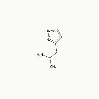 CC(N)Cc1cc[nH]n1